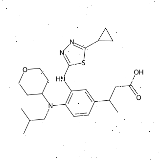 CC(C)CN(c1ccc(C(C)CC(=O)O)cc1Nc1nnc(C2CC2)s1)C1CCOCC1